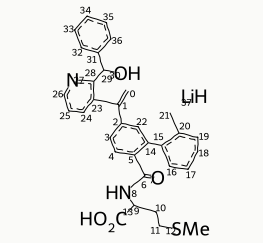 C=C(c1ccc(C(=O)NC(CCSC)C(=O)O)c(-c2ccccc2C)c1)c1cccnc1C(O)c1ccccc1.[LiH]